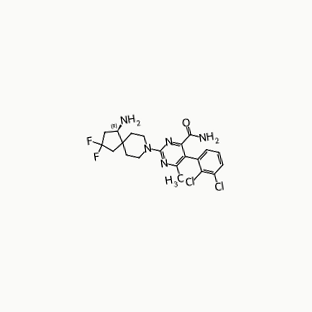 Cc1nc(N2CCC3(CC2)CC(F)(F)C[C@H]3N)nc(C(N)=O)c1-c1cccc(Cl)c1Cl